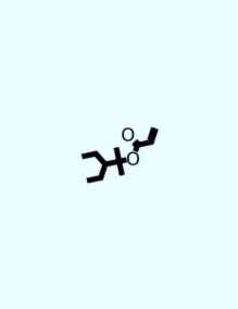 C=CC(=O)OC(C)(C)C(CC)CC